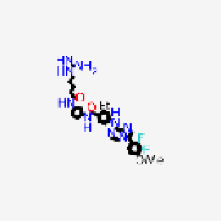 CCc1cc(Nc2nccn3c(-c4ccc(OC)c(F)c4F)cnc23)ccc1C(=O)NC1CCC(NC(=O)CCCCNC(=N)N)C1